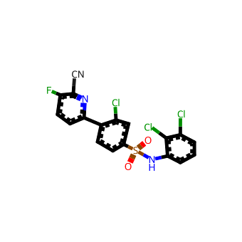 N#Cc1nc(-c2ccc(S(=O)(=O)Nc3cccc(Cl)c3Cl)cc2Cl)ccc1F